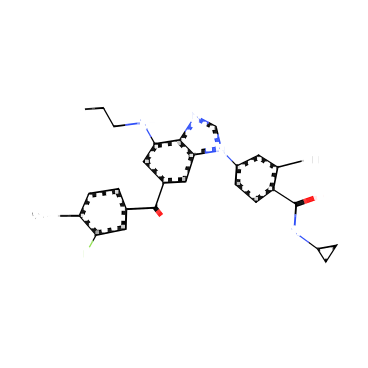 COc1ccc(C(=O)c2cc(NCCC(F)(F)F)c3ncn(-c4ccc(C(=O)NC5CC5)c(C)c4)c3c2)cc1F